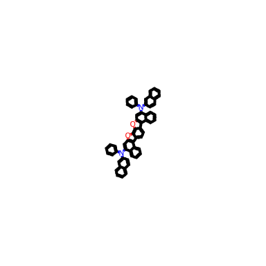 c1ccc(N(c2ccc3ccccc3c2)c2cc3oc4c(ccc5c4oc4cc(N(c6ccccc6)c6ccc7ccccc7c6)c6ccccc6c45)c3c3ccccc23)cc1